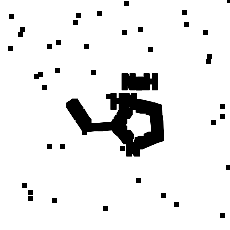 C=Cc1ncc[nH]1.[NaH]